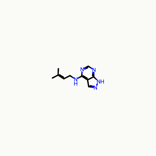 CC(C)=CCNc1ncnc2[nH]ncc12